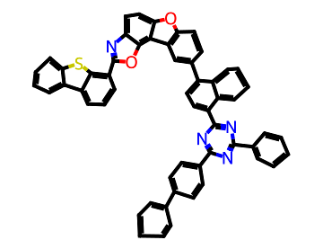 c1ccc(-c2ccc(-c3nc(-c4ccccc4)nc(-c4ccc(-c5ccc6oc7ccc8nc(-c9cccc%10c9sc9ccccc9%10)oc8c7c6c5)c5ccccc45)n3)cc2)cc1